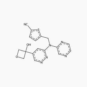 N#Cc1ccc(CN(c2cnccn2)c2cc(C3(O)COC3)cnn2)s1